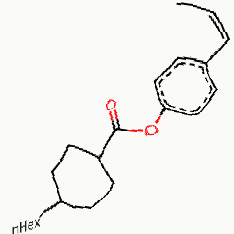 C/C=C\c1ccc(OC(=O)C2CCC(CCCCCC)CC2)cc1